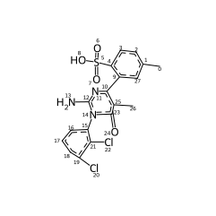 Cc1ccc(S(=O)(=O)O)c(-c2nc(N)n(-c3cccc(Cl)c3Cl)c(=O)c2C)c1